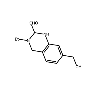 CCN1Cc2ccc(CO)cc2NC1C=O